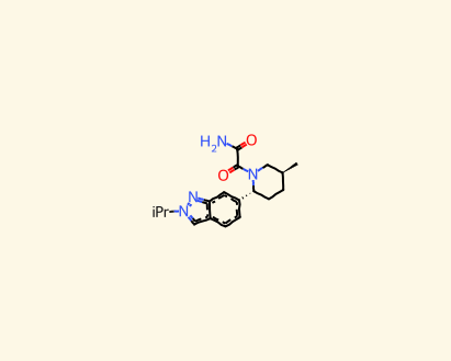 CC(C)n1cc2ccc([C@H]3CC[C@H](C)CN3C(=O)C(N)=O)cc2n1